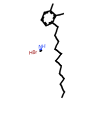 Br.C=N.CCCCCCCCCCCCc1cccc(C)c1C